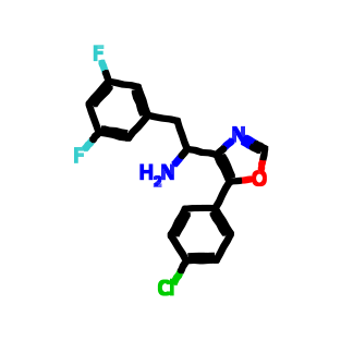 NC(Cc1cc(F)cc(F)c1)c1ncoc1-c1ccc(Cl)cc1